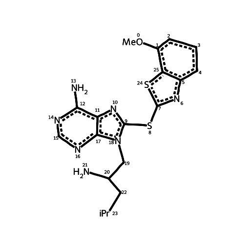 COc1cccc2nc(Sc3nc4c(N)ncnc4n3CC(N)CC(C)C)sc12